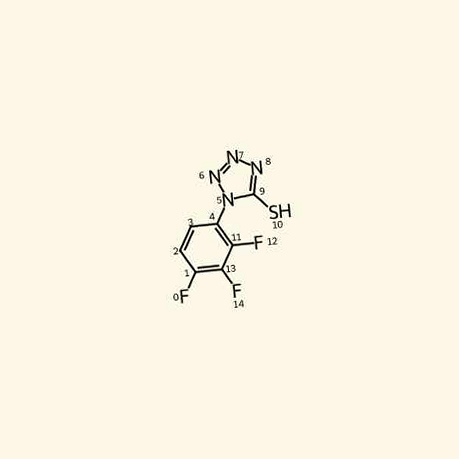 Fc1ccc(-n2nnnc2S)c(F)c1F